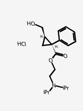 CC(C)N(CCOC(=O)[C@]1(c2ccccc2)C[C@H]1CO)C(C)C.Cl